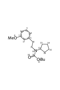 COc1cccc(CCN(C(=O)OCC(C)C)C2CCCC2)c1